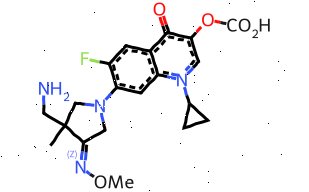 CO/N=C1\CN(c2cc3c(cc2F)c(=O)c(OC(=O)O)cn3C2CC2)CC1(C)CN